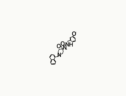 COc1cccc(CNC(=O)N(C)C2(C=O)CCN(Cc3cccc4ccccc34)CC2)c1